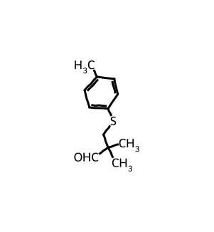 Cc1ccc(SCC(C)(C)C=O)cc1